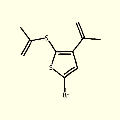 C=C(C)Sc1sc(Br)cc1C(=C)C